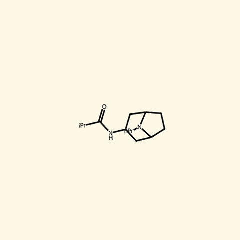 CCCN1C2CCC1CC(NC(=O)C(C)C)C2